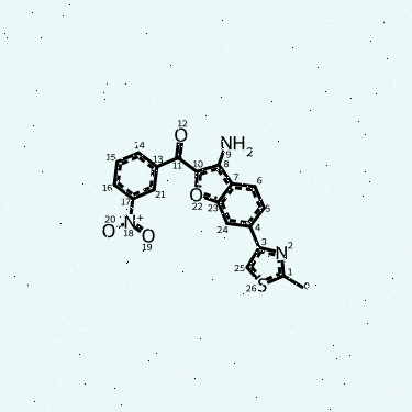 Cc1nc(-c2ccc3c(N)c(C(=O)c4cccc([N+](=O)[O-])c4)oc3c2)cs1